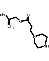 C=C(CCC)COC(=O)CCN1CCNCC1